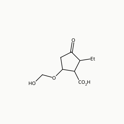 CCC1C(=O)CC(OCO)C1C(=O)O